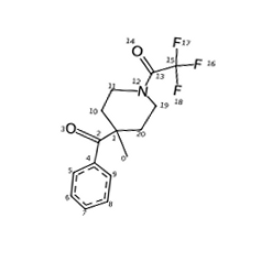 CC1(C(=O)c2ccccc2)CCN(C(=O)C(F)(F)F)CC1